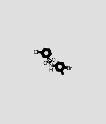 Cc1cc(NS(=O)(=O)c2cccc(Cl)c2)ccc1Br